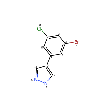 Clc1cc(Br)cc(C2=C[N]N=C2)c1